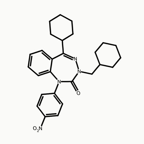 O=C1N(CC2CCCCC2)N=C(C2CCCCC2)c2ccccc2N1c1ccc([N+](=O)[O-])cc1